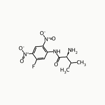 CC(C)[C@H](N)C(=O)Nc1cc(F)c([N+](=O)[O-])cc1[N+](=O)[O-]